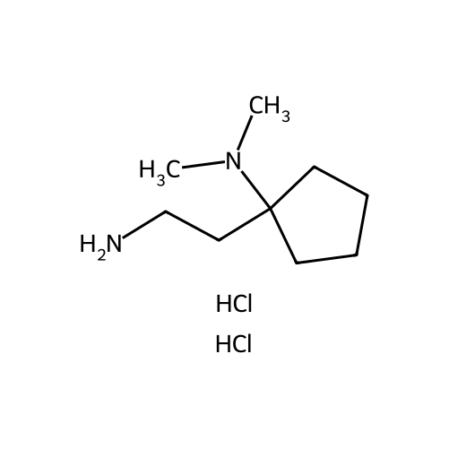 CN(C)C1(CCN)CCCC1.Cl.Cl